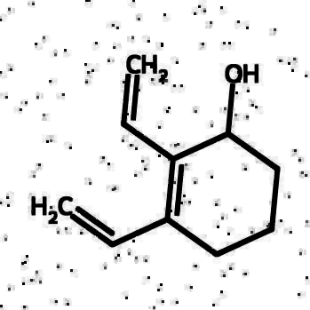 C=CC1=C(C=C)C(O)CCC1